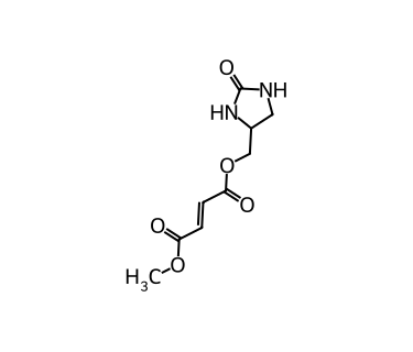 COC(=O)/C=C/C(=O)OCC1CNC(=O)N1